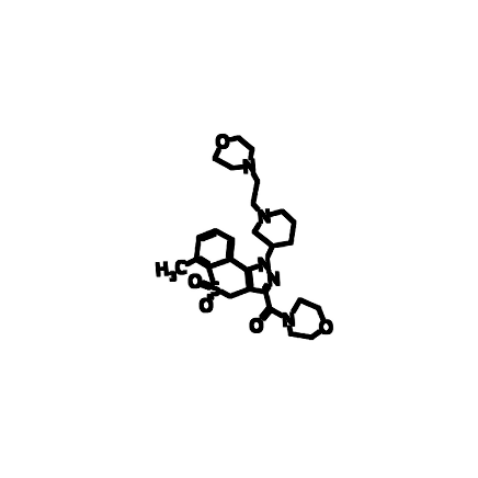 Cc1cccc2c1S(=O)(=O)Cc1c(C(=O)N3CCOCC3)nn(C3CCCN(CCN4CCOCC4)C3)c1-2